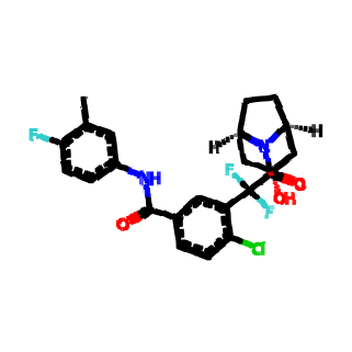 Cc1cc(NC(=O)c2ccc(Cl)c(C(F)(F)C(=O)N3[C@@H]4CC[C@H]3C[C@H](O)C4)c2)ccc1F